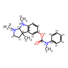 CN(C(=O)Oc1ccc2c(c1)C1(C)CCN(C)C1N2C)c1ccccc1